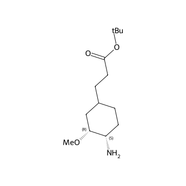 CO[C@@H]1CC(CCC(=O)OC(C)(C)C)CC[C@@H]1N